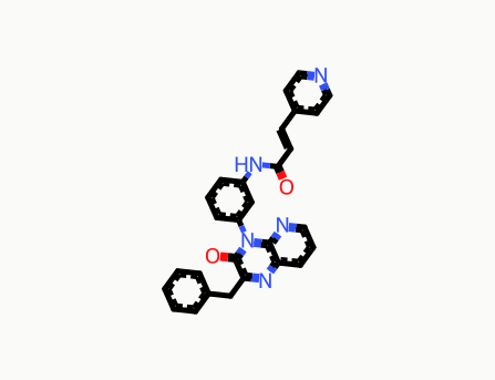 O=C(/C=C/c1ccncc1)Nc1cccc(-n2c(=O)c(Cc3ccccc3)nc3cccnc32)c1